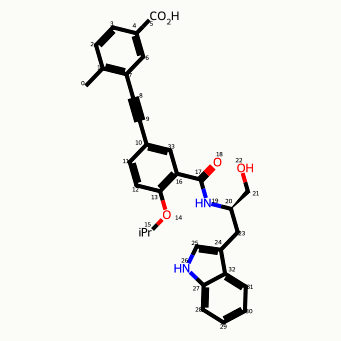 Cc1ccc(C(=O)O)cc1C#Cc1ccc(OC(C)C)c(C(=O)N[C@@H](CO)Cc2c[nH]c3ccccc23)c1